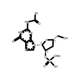 COP(=O)(S)O[C@@H]1C[C@@H](CO)O[C@H]1n1cnc2c(=O)[nH]c(NC(=O)C(C)C)nc21